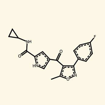 Cc1onc(-c2ccc(F)cc2)c1C(=O)c1c[nH]c(C(=O)NC2CC2)c1